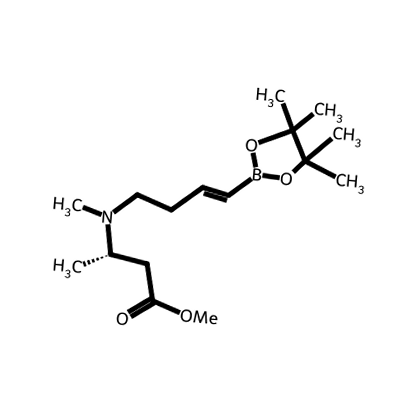 COC(=O)C[C@H](C)N(C)CC/C=C/B1OC(C)(C)C(C)(C)O1